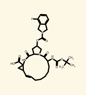 CC(C)(C)OC(=O)NC1CCCCC/C=C/C2CC2(C(=O)O)NC(=O)C2CC(OC(=O)N3Cc4cccc(F)c4C3)CN2C1=O